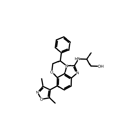 Cc1noc(C)c1-c1ccc2nc(NC(C)CO)n3c2c1OCC3c1ccccc1